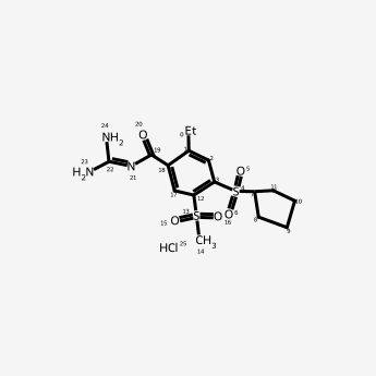 CCc1cc(S(=O)(=O)C2CCCC2)c(S(C)(=O)=O)cc1C(=O)N=C(N)N.Cl